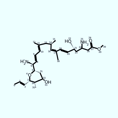 C/C=C/[C@@H]1O[C@H]([C@@H](N)/C=C/C=C(\C)C[C@@H](C)/C=C(C)\C=C\[C@H](O)CC(N)CC(=O)OC)C[C@@H](O)[C@@H]1C